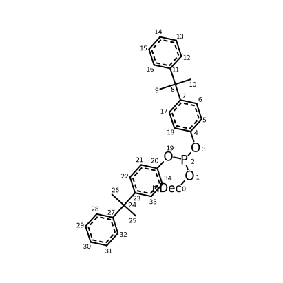 CCCCCCCCCCOP(Oc1ccc(C(C)(C)c2ccccc2)cc1)Oc1ccc(C(C)(C)c2ccccc2)cc1